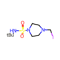 CC(C)(C)NS(=O)(=O)N1CCN(CI)CC1